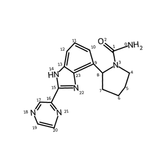 NC(=O)N1CCCCC1c1cccc2[nH]c(-c3cnccn3)nc12